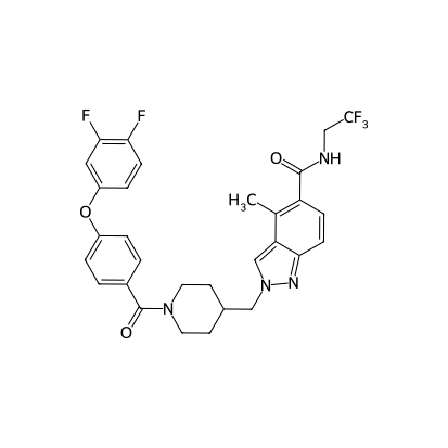 Cc1c(C(=O)NCC(F)(F)F)ccc2nn(CC3CCN(C(=O)c4ccc(Oc5ccc(F)c(F)c5)cc4)CC3)cc12